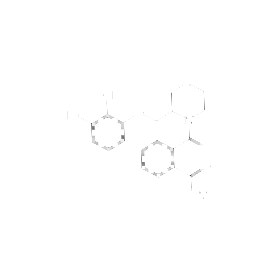 COC(=O)c1ccccc1C(=O)N1CCSCC1COc1cccc(O)c1C=O